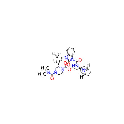 CC(C)n1c(=O)n(C(=O)N[C@H]2C[C@H]3CC[C@@H](C2)N3CCCOC(=O)N2CCN(C(=O)N(C)C)CC2)c2ccccc21